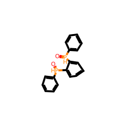 O=[PH](c1ccccc1)c1ccccc1[PH](=O)c1ccccc1